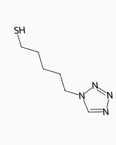 SCCCCCn1cnnn1